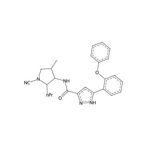 CCCC1C(NC(=O)c2cc(-c3ccccc3Oc3ccccc3)[nH]n2)C(C)CN1C#N